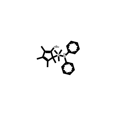 CCCCC1=C(C)C(C)=C(C)[C]1(C)[Ti]([CH3])([CH3])([CH3])[SiH](c1ccccc1)c1ccccc1